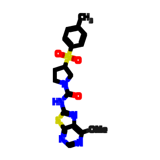 COc1ncnc2sc(NC(=O)N3CCC(S(=O)(=O)c4ccc(C)cc4)C3)nc12